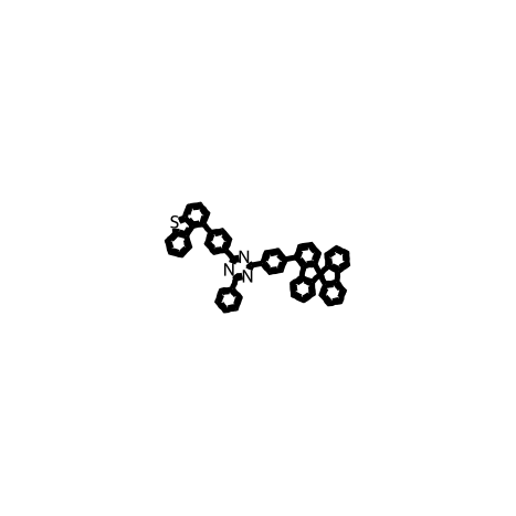 c1ccc(-c2nc(-c3ccc(-c4cccc5c4-c4ccccc4C54c5ccccc5-c5ccccc54)cc3)nc(-c3ccc(-c4cccc5sc6ccccc6c45)cc3)n2)cc1